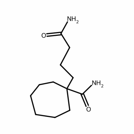 NC(=O)CCCC1(C(N)=O)CCCCCC1